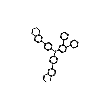 C/C=C\c1cc(-c2ccc(N(c3ccc(-c4ccc5c(c4)CCC=C5)cc3)c3ccc(-c4ccccc4)c(-c4ccccc4)c3)cc2)ccc1C